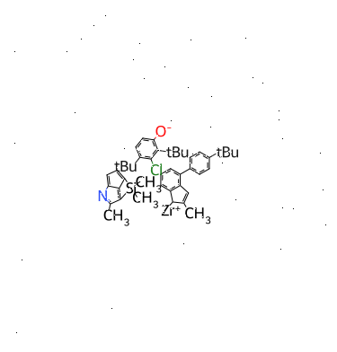 CC(C)(C)c1ccc([O-])c(C(C)(C)C)c1Cl.CC1=Cc2c(-c3ccc(C(C)(C)C)cc3)cccc2[CH]1[Zr+].CC1=NC2=CC=C3C2=C1[Si]3(C)C